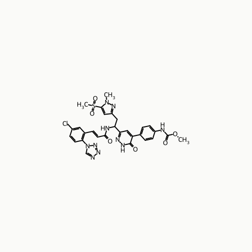 COC(=O)Nc1ccc(-c2cc(C(Cc3cc(S(C)(=O)=O)n(C)n3)NC(=O)/C=C/c3cc(Cl)ccc3-n3cnnn3)n[nH]c2=O)cc1